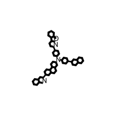 c1ccc2cc(-c3ccc(N(c4ccc(-c5ccc6c(n5)oc5ccccc56)cc4)c4ccc5c(ccc6cc(-c7cc8ccccc8cn7)ccc65)c4)cc3)ccc2c1